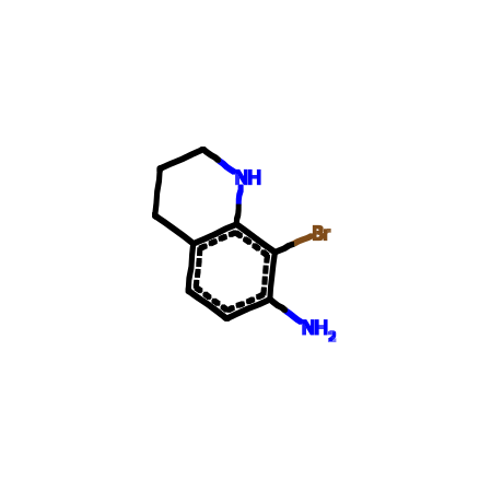 Nc1ccc2c(c1Br)NCCC2